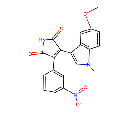 COc1ccc2c(c1)c(C1=C(c3cccc([N+](=O)[O-])c3)C(=O)NC1=O)cn2C